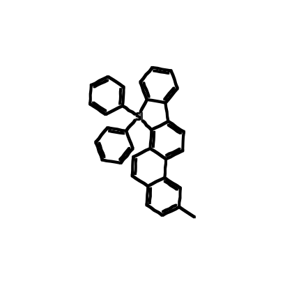 Cc1ccc2ccc3c4c(ccc3c2c1)-c1ccccc1[Si]4(c1ccccc1)c1ccccc1